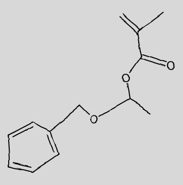 C=C(C)C(=O)OC(C)OCc1ccccc1